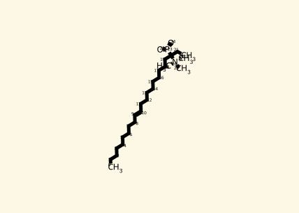 CCCCCCCCCC=CCCCCCCCCCC(CC)(P(=O)=O)[N+](C)(C)C